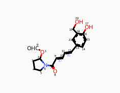 O=COC1CCCN1C(=O)/C=C/C=C/c1ccc(O)c(CO)c1